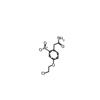 NC(=O)Cc1ccc(OCCCl)cc1[N+](=O)[O-]